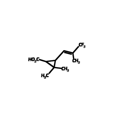 C/C(=C\C1C(C(=O)O)C1(C)C)C(F)(F)F